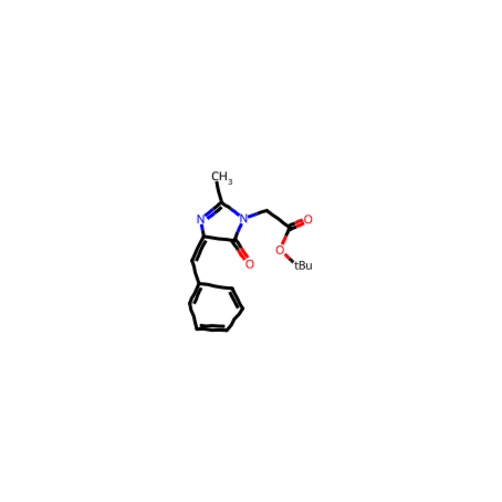 CC1=NC(=Cc2ccccc2)C(=O)N1CC(=O)OC(C)(C)C